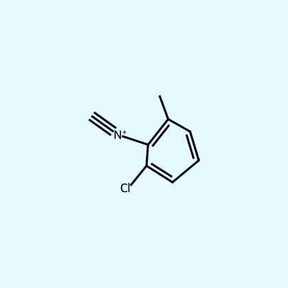 C#[N+]c1c(C)cccc1Cl